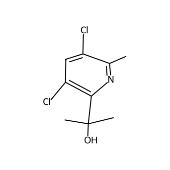 Cc1nc(C(C)(C)O)c(Cl)cc1Cl